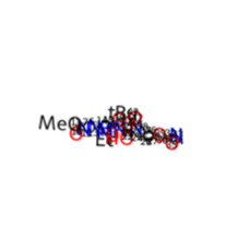 CCOc1nc(N2CCN(C(=O)OC)CC2)ccc1C(=O)NC[C@@H](O)C1Cc2ccc(OCc3cnco3)cc2CN1C(=O)OC(C)(C)C